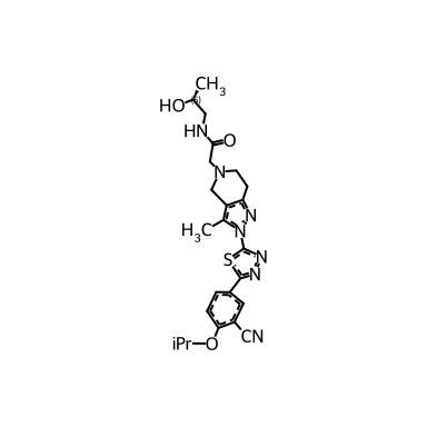 Cc1c2c(nn1-c1nnc(-c3ccc(OC(C)C)c(C#N)c3)s1)CCN(CC(=O)NC[C@H](C)O)C2